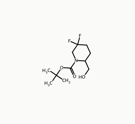 CC(C)(C)OC(=O)N1CC(F)(F)CCC1CO